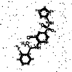 C[C@H](Nc1ncc(S(=O)(=O)Nc2cscn2)cc1Cl)c1ccccc1F